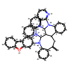 C=C1CC2c3ccccc3N3c4ncccc4N(c4ccccc4)C3C2C2N(c3ccccc3)c3cc4c(cc3N2c2ccccc21)oc1ccccc14